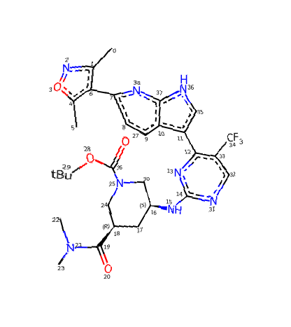 Cc1noc(C)c1-c1ccc2c(-c3nc(N[C@H]4C[C@@H](C(=O)N(C)C)CN(C(=O)OC(C)(C)C)C4)ncc3C(F)(F)F)c[nH]c2n1